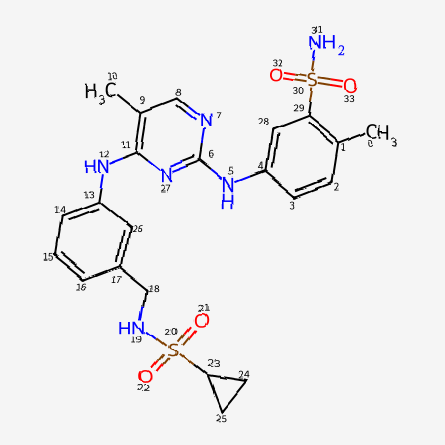 Cc1ccc(Nc2ncc(C)c(Nc3cccc(CNS(=O)(=O)C4CC4)c3)n2)cc1S(N)(=O)=O